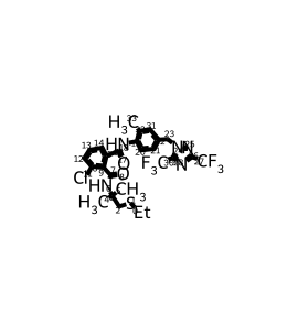 CCSCC(C)(C)NC(=O)c1c(Cl)cccc1C(=O)Nc1ccc(Cn2nc(C(F)(F)F)nc2C(F)(F)F)cc1C